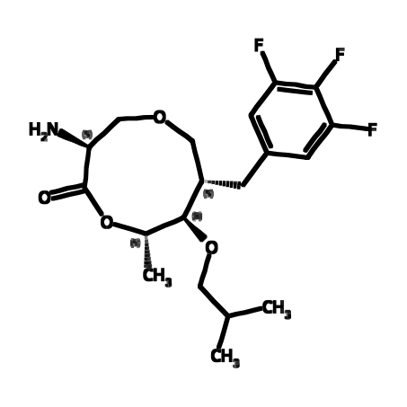 CC(C)CO[C@@H]1[C@@H](Cc2cc(F)c(F)c(F)c2)COC[C@H](N)C(=O)O[C@H]1C